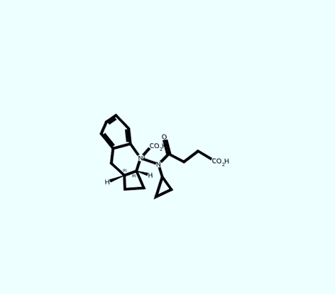 O=C(O)CCC(=O)N(C1CC1)[N+]1(C(=O)O)c2ccccc2C[C@H]2CC[C@H]21